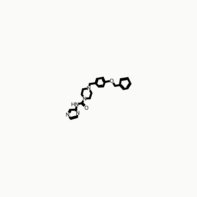 O=C(Nc1cnccn1)N1CCN(Cc2ccc(OCc3ccccc3)cc2)CC1